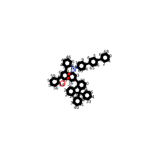 c1ccc(-c2ccc(-c3ccc(N(c4cccc(-c5cccc6c5-c5ccccc5C6(c5ccccc5)c5ccccc5)c4)c4ccccc4-c4ccc5oc6ccccc6c5c4)cc3)cc2)cc1